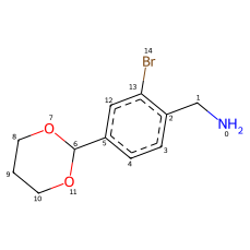 NCc1ccc(C2OCCCO2)cc1Br